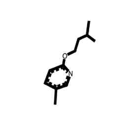 Cc1ccc(OCCC(C)C)nc1